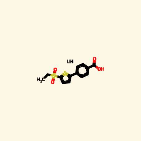 CCS(=O)(=O)c1ccc(-c2ccc(C(=O)O)cc2)s1.[LiH]